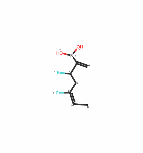 C=C(B(O)O)C(F)C/C(F)=C\C